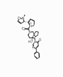 CN1OC=CC1[C@@H]1CCCN1C(=O)N1CCC(O)(Cn2cnc(-c3ccccc3)cc2=O)C2(CCCC2)C1